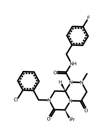 CC(C)[C@H]1C(=O)N(Cc2ccccc2Cl)C[C@H]2N1C(=O)CN(C)N2C(=O)NCc1ccc(F)cc1